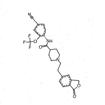 N#Cc1ccc(NC(=O)C2CCN(CCc3ccc4c(c3)COC4=O)CC2)c(OC(F)(F)F)c1